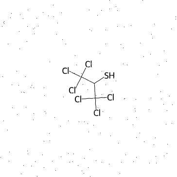 SC(C(Cl)(Cl)Cl)C(Cl)(Cl)Cl